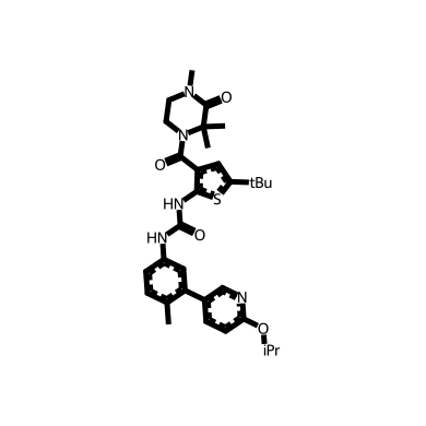 Cc1ccc(NC(=O)Nc2sc(C(C)(C)C)cc2C(=O)N2CCN(C)C(=O)C2(C)C)cc1-c1ccc(OC(C)C)nc1